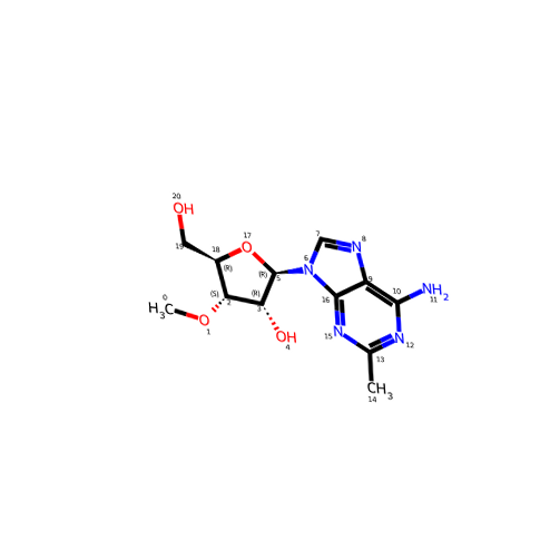 CO[C@H]1[C@@H](O)[C@H](n2cnc3c(N)nc(C)nc32)O[C@@H]1CO